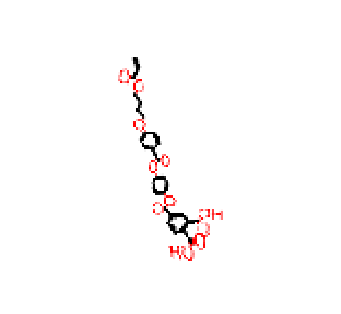 C=CC(=O)OCCCCOc1ccc(C(=O)Oc2ccc(OC(=O)c3ccc(C(=O)O)c(C(=O)O)c3)cc2)cc1